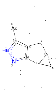 CC(=O)c1[nH]nc2c1CC1CC21